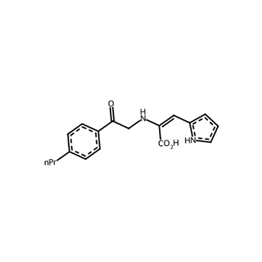 CCCc1ccc(C(=O)CN/C(=C/c2ccc[nH]2)C(=O)O)cc1